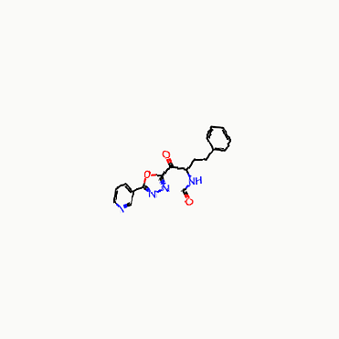 O=CNC(CCc1ccccc1)C(=O)c1nnc(-c2cccnc2)o1